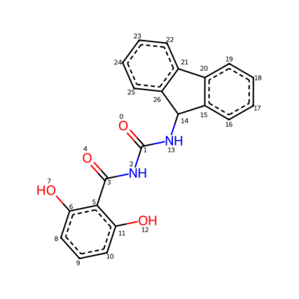 O=C(NC(=O)c1c(O)cccc1O)NC1c2ccccc2-c2ccccc21